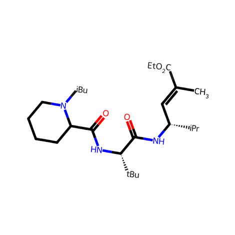 CCOC(=O)/C(C)=C/[C@@H](NC(=O)[C@@H](NC(=O)C1CCCCN1C(C)CC)C(C)(C)C)C(C)C